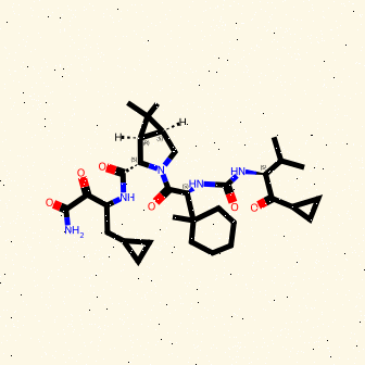 CC(C)[C@H](NC(=O)N[C@H](C(=O)N1C[C@H]2[C@@H]([C@H]1C(=O)NC(CC1CC1)C(=O)C(N)=O)C2(C)C)C1(C)CCCCC1)C(=O)C1CC1